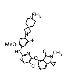 COc1cc(N2CC3(CCN(C)CC3)C2)c(F)cc1Nc1ncc(Cl)c(Oc2cccc3c2C(=O)N(C)C32CC2)n1